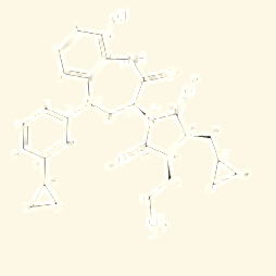 O=C1Nc2c(Cl)cccc2N(c2cccc(C3CC3)c2)C[C@@H]1N1C(=O)[C@@H](CC2CC2)[C@@H](CCC(F)(F)F)C1=O